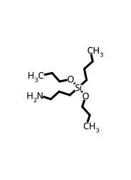 CCCC[Si](CCCN)(OCCC)OCCC